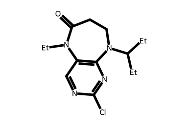 CCC(CC)N1CCC(=O)N(CC)c2cnc(Cl)nc21